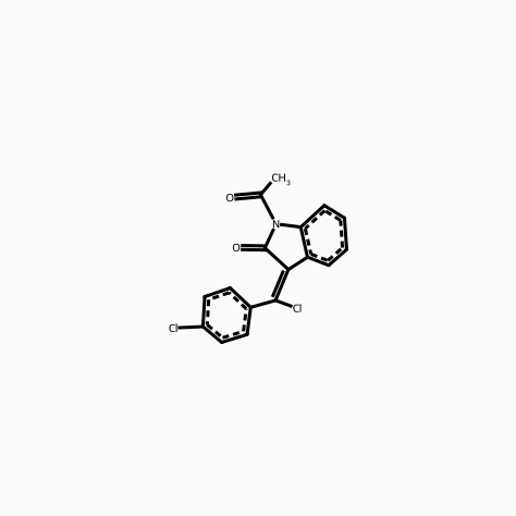 CC(=O)N1C(=O)C(=C(Cl)c2ccc(Cl)cc2)c2ccccc21